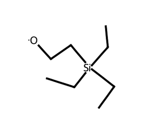 CC[Si](CC)(CC)CC[O]